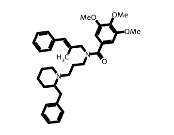 COc1cc(C(=O)N(CCCN2CCCCC2Cc2ccccc2)CC(C)=Cc2ccccc2)cc(OC)c1OC